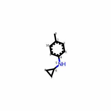 Cc1ccc(NC2CC2)cc1